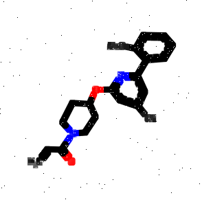 C=CC(=O)N1CCC(Oc2cc(C#N)cc(-c3ccccc3OC)n2)CC1